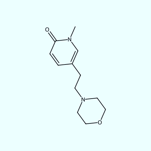 Cn1cc(CCN2CCOCC2)ccc1=O